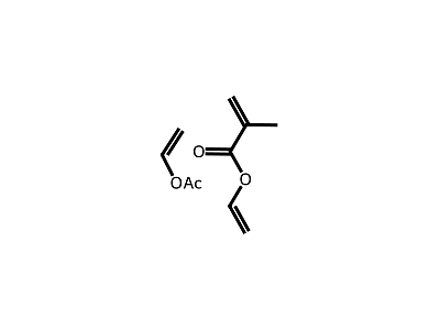 C=COC(=O)C(=C)C.C=COC(C)=O